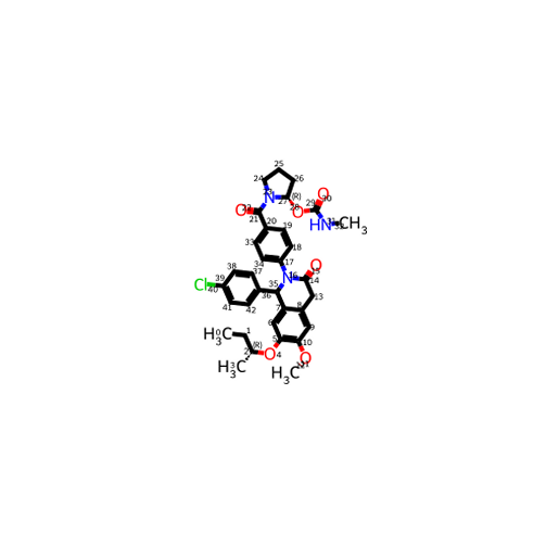 CC[C@@H](C)Oc1cc2c(cc1OC)CC(=O)N(c1ccc(C(=O)N3CCC[C@H]3OC(=O)NC)cc1)C2c1ccc(Cl)cc1